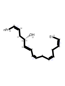 CC/C=C\C/C=C\C/C=C\C=C\[C@@H](O)C/C=C\CCC